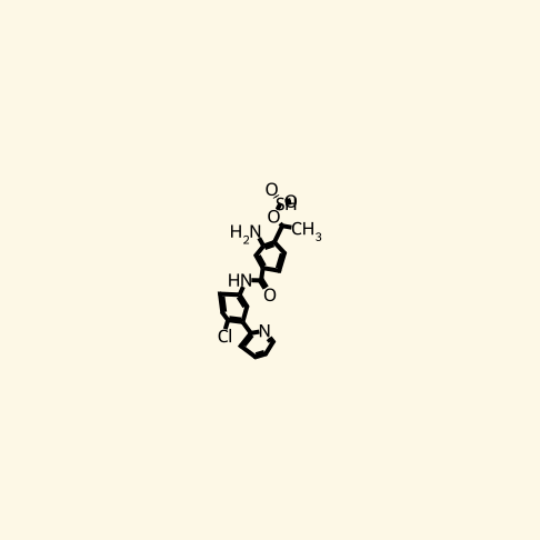 CC(O[SH](=O)=O)c1ccc(C(=O)Nc2ccc(Cl)c(-c3ccccn3)c2)cc1N